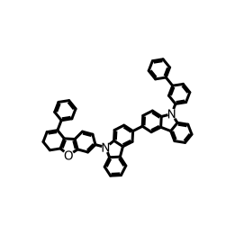 C1=C(c2ccccc2)c2c(oc3cc(-n4c5ccccc5c5cc(-c6ccc7c(c6)c6ccccc6n7-c6cccc(-c7ccccc7)c6)ccc54)ccc23)CC1